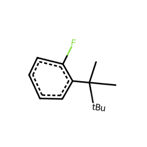 CC(C)(C)C(C)(C)c1ccccc1F